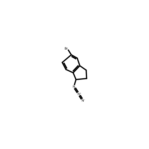 [N-]=[N+]=NC1CCc2cc(Br)ccc21